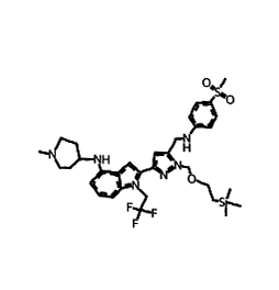 CN1CCC(Nc2cccc3c2cc(-c2cc(CNc4ccc(S(C)(=O)=O)cc4)n(COCC[Si](C)(C)C)n2)n3CC(F)(F)F)CC1